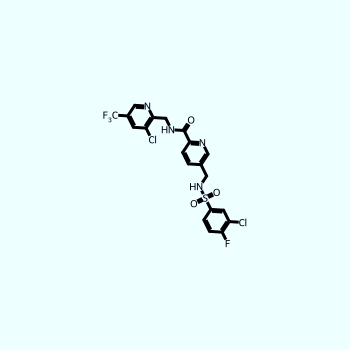 O=C(NCc1ncc(C(F)(F)F)cc1Cl)c1ccc(CNS(=O)(=O)c2ccc(F)c(Cl)c2)cn1